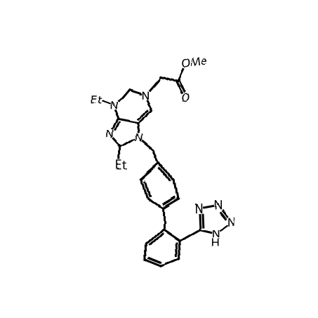 CCC1N=C2C(=CN(CC(=O)OC)CN2CC)N1Cc1ccc(-c2ccccc2-c2nnn[nH]2)cc1